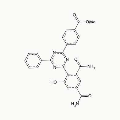 COC(=O)c1ccc(-c2nc(-c3ccccc3)nc(-c3c(O)cc(C(N)=O)cc3C(N)=O)n2)cc1